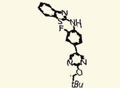 [CH2]C(C)(C)[CH]Oc1ncc(-c2ccc(Nc3nc4ccccc4s3)c(F)c2)cn1